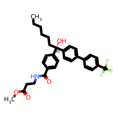 CCCCCC[C@](O)(c1ccc(C(=O)NCCC(=O)OC)cc1)c1ccc(-c2ccc(C(F)(F)F)cc2)cc1